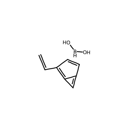 C=Cc1ccc2cc1-2.OBO